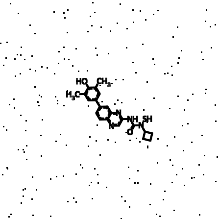 Cc1cc(-c2ccc3ncc(NC(=O)N(S)C4CCC4)nc3c2)cc(C)c1O